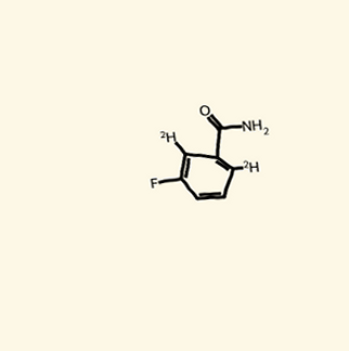 [2H]c1ccc(F)c([2H])c1C(N)=O